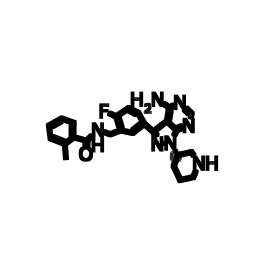 Cc1ccccc1C(=O)NCc1cc(-c2nn([C@@H]3CCCNC3)c3ncnc(N)c23)ccc1F